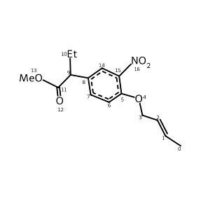 CC=CCOc1ccc(C(CC)C(=O)OC)cc1[N+](=O)[O-]